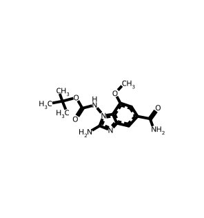 COc1cc(C(N)=O)cc2nc(N)n(NC(=O)OC(C)(C)C)c12